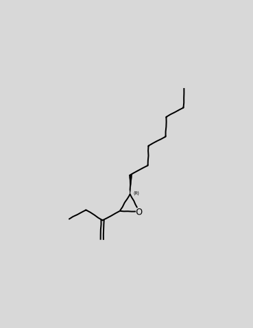 C=C(CC)C1O[C@@H]1CCCCCCC